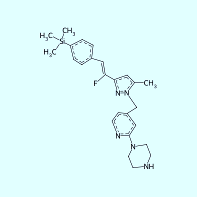 Cc1cc(C(F)=Cc2ccc([Si](C)(C)C)cc2)nn1Cc1ccnc(N2CCNCC2)c1